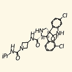 CC(C)NC(=O)N1CC(NC(=O)[C@@H]2NC[C@]3(C(=O)Nc4cc(Cl)ccc43)[C@H]2c2cccc(Cl)c2F)C1